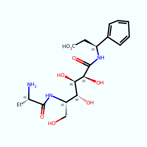 CC[C@H](N)C(=O)N[C@@H](CO)[C@@H](O)[C@@H](O)[C@H](O)C(=O)N[C@@H](CC(=O)O)c1ccccc1